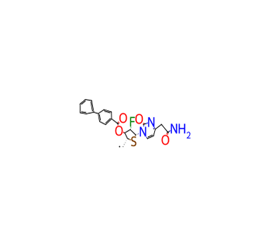 [CH2][C@H]1S[C@@H](n2ccc(CC(N)=O)nc2=O)[C@@H](F)[C@@H]1OC(=O)c1ccc(-c2ccccc2)cc1